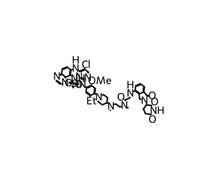 CCc1cc(Nc2ncc(Cl)c(Nc3ccc4nccnc4c3NS(C)(=O)=O)n2)c(OC)cc1N1CCC(N(C)CCN(C)C(=O)CNc2cccc3c2CN(C2CCC(=O)NC2=O)C3=O)CC1